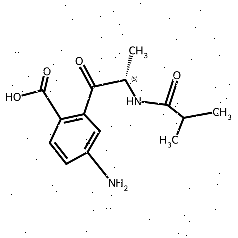 CC(C)C(=O)N[C@@H](C)C(=O)c1cc(N)ccc1C(=O)O